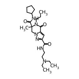 CCCN1C(=O)c2cc(C(=O)NCCN(CC)CC)nn2CC1(C)C(=O)NC1CCCC1